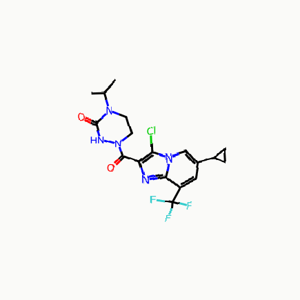 CC(C)N1CCN(C(=O)c2nc3c(C(F)(F)F)cc(C4CC4)cn3c2Cl)NC1=O